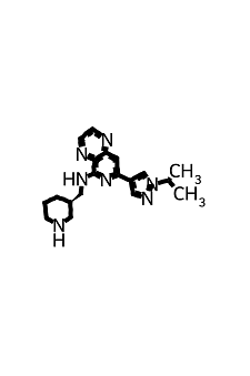 CC(C)n1cc(-c2cc3nccnc3c(NC[C@@H]3CCCNC3)n2)cn1